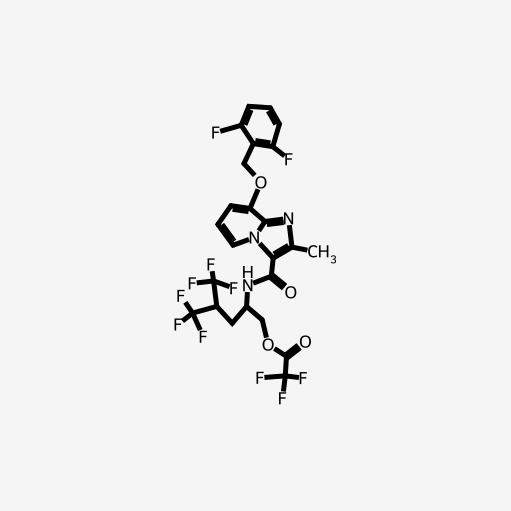 Cc1nc2c(OCc3c(F)cccc3F)cccn2c1C(=O)NC(COC(=O)C(F)(F)F)CC(C(F)(F)F)C(F)(F)F